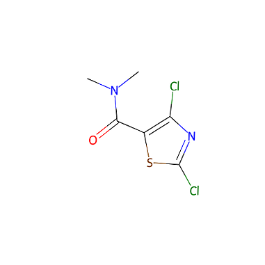 CN(C)C(=O)c1sc(Cl)nc1Cl